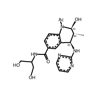 CC(=O)N1c2ccc(C(=O)NC(CO)CO)cc2[C@H](Nc2ncccn2)[C@@H](C)[C@@H]1O